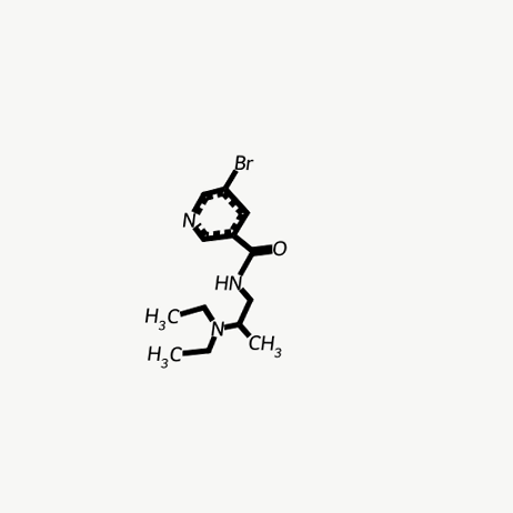 CCN(CC)C(C)CNC(=O)c1cncc(Br)c1